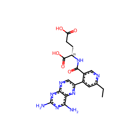 CCc1cc(-c2cnc3nc(N)nc(N)c3n2)c(C(=O)N[C@@H](CCC(=O)O)C(=O)O)cn1